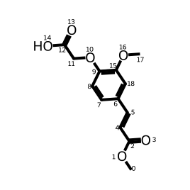 COC(=O)C=Cc1ccc(OCC(=O)O)c(OC)c1